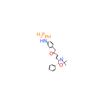 CN1[C@H](/C=C/C(=O)Cc2ccc(NPP)cc2)[C@@H](c2ccccc2)OC1(C)C